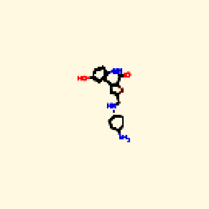 N[C@H]1CC[C@H](NCc2cc3c(s2)c(=O)[nH]c2ccc(O)cc23)CC1